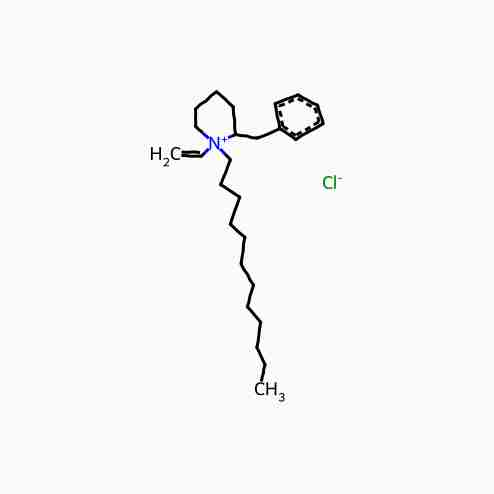 C=C[N+]1(CCCCCCCCCCCC)CCCCC1Cc1ccccc1.[Cl-]